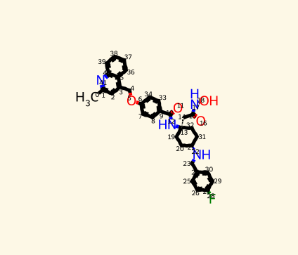 Cc1cc(COc2ccc(C(=O)N[C@]3(CC(=O)NO)CC[C@H](NCc4ccc(F)cc4)CC3)cc2)c2ccccc2n1